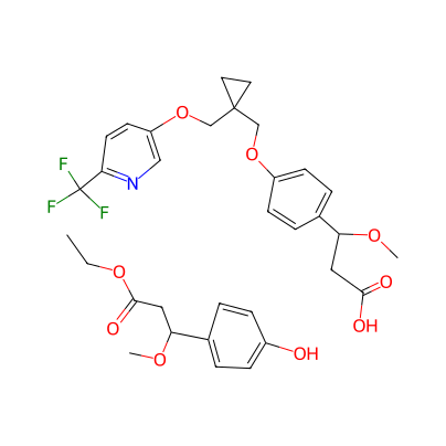 CCOC(=O)CC(OC)c1ccc(O)cc1.COC(CC(=O)O)c1ccc(OCC2(COc3ccc(C(F)(F)F)nc3)CC2)cc1